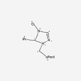 CCCCCCN1N=CN(Cl)C1C(C)C